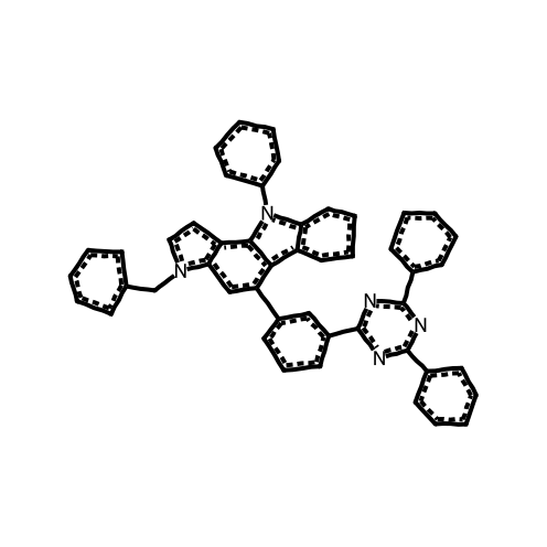 c1ccc(Cn2ccc3c2cc(-c2cccc(-c4nc(-c5ccccc5)nc(-c5ccccc5)n4)c2)c2c4ccccc4n(-c4ccccc4)c32)cc1